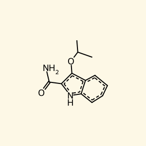 CC(C)Oc1c(C(N)=O)[nH]c2ccccc12